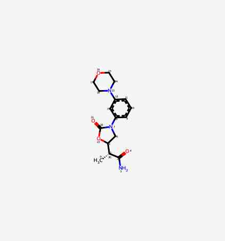 C[C@@H](C(N)=O)C1CN(c2cccc(N3CCOCC3)c2)C(=O)O1